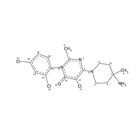 Cc1nc(N2CCC(C)(N)CC2)c(Cl)c(=O)n1-c1ccc(Cl)cc1Cl